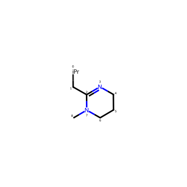 CC(C)CC1=NCCCN1C